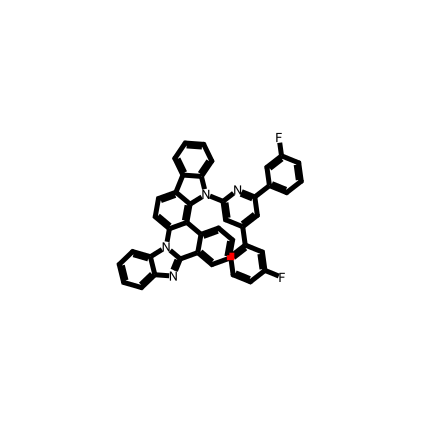 Fc1cccc(-c2cc(-c3cccc(F)c3)nc(-n3c4ccccc4c4ccc5c(c6ccccc6c6nc7ccccc7n56)c43)c2)c1